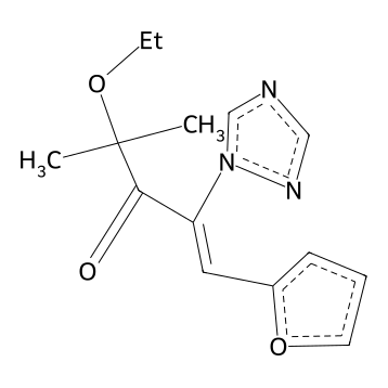 CCOC(C)(C)C(=O)C(=Cc1ccco1)n1cncn1